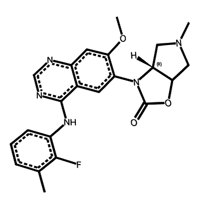 COc1cc2ncnc(Nc3cccc(C)c3F)c2cc1N1C(=O)OC2CN(C)C[C@H]21